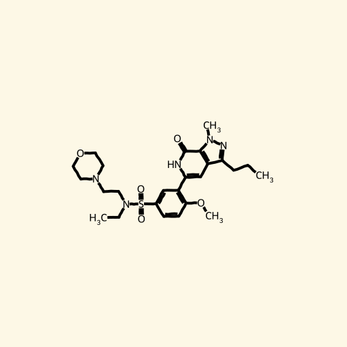 CCCc1nn(C)c2c(=O)[nH]c(-c3cc(S(=O)(=O)N(CC)CCN4CCOCC4)ccc3OC)cc12